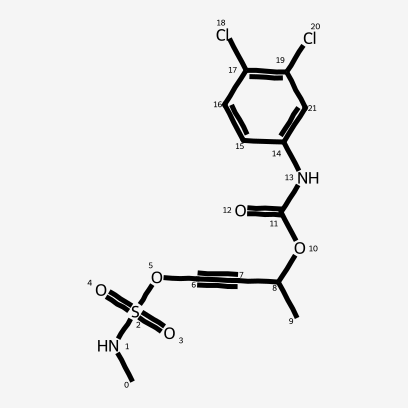 CNS(=O)(=O)OC#CC(C)OC(=O)Nc1ccc(Cl)c(Cl)c1